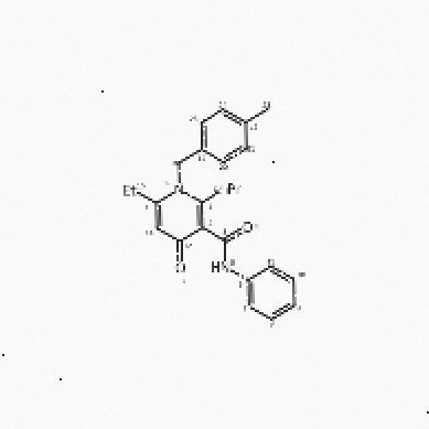 CCCc1c(C(=O)Nc2ccccc2)c(=O)cc(CC)n1Cc1ccc(C)cc1